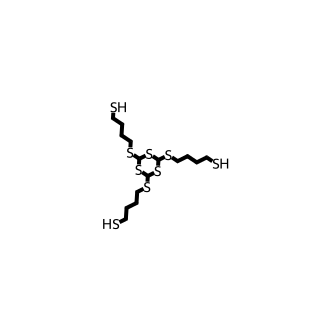 SCCCCSC1SC(SCCCCS)SC(SCCCCS)S1